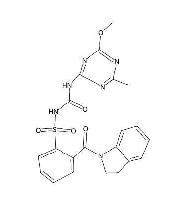 COc1nc(C)nc(NC(=O)NS(=O)(=O)c2ccccc2C(=O)N2CCc3ccccc32)n1